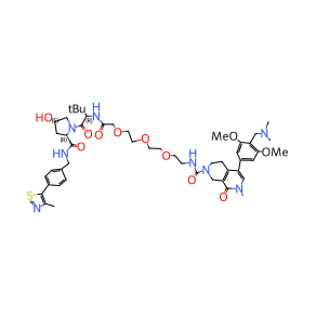 COc1cc(-c2cn(C)c(=O)c3c2CCN(C(=O)NCCOCCOCCOCC(=O)N[C@@H](C(=O)N2C[C@@H](O)C[C@@H]2C(=O)NCc2ccc(-c4scnc4C)cc2)C(C)(C)C)C3)cc(OC)c1CN(C)C